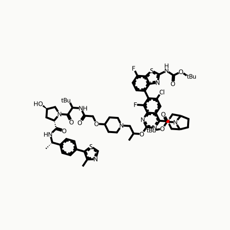 Cc1ncsc1-c1ccc([C@H](C)NC(=O)[C@@H]2C[C@@H](O)CN2C(=O)C(NC(=O)COC2CCN(CC(C)Oc3nc(N4CC5CCC(C4)N5C(=O)OC(C)(C)C)c4cc(Cl)c(-c5ccc(F)c6sc(NC(=O)OC(C)(C)C)nc56)c(F)c4n3)CC2)C(C)(C)C)cc1